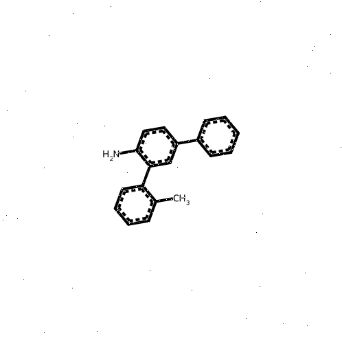 Cc1ccccc1-c1cc(-c2ccccc2)ccc1N